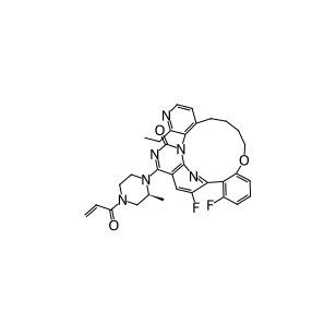 C=CC(=O)N1CCN(c2nc(=O)n3c4nc(c(F)cc24)-c2c(F)cccc2OCCCCc2ccnc(CC)c2-3)[C@@H](C)C1